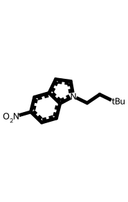 CC(C)(C)CCn1ccc2cc([N+](=O)[O-])ccc21